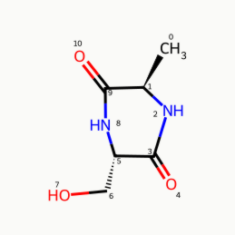 C[C@H]1NC(=O)[C@H](CO)NC1=O